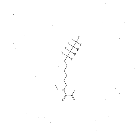 C=C(C)C(=O)N(CC)CCCCCCC(F)(F)C(F)(F)C(F)(F)C(F)(F)F